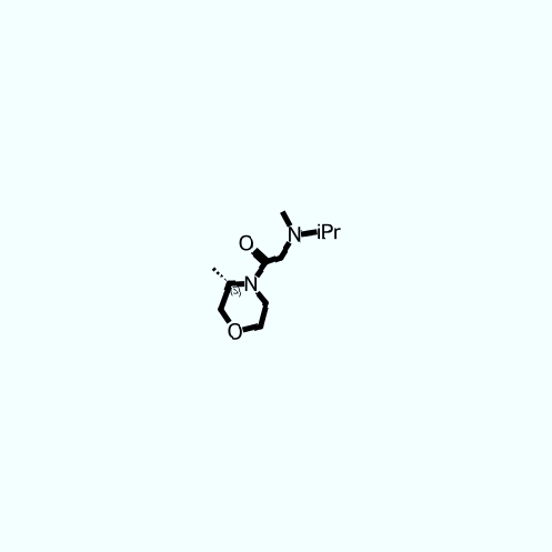 CC(C)N(C)CC(=O)N1CCOC[C@@H]1C